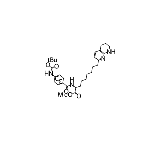 COC(=O)[C@H](CCCCCCCc1ccc2c(n1)NCCC2)NC(=O)C12CCC(NC(=O)OC(C)(C)C)(CC1)CC2